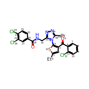 CCc1cc(C(=O)c2ccccc2Cl)c(-n2c(CNC(=O)c3ccc(Cl)c(Cl)c3)nnc2C(C)C)s1